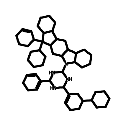 C1=CC(C2NC(C3=CCCC(C4CCCCC4)C3)NC(N3C4CCCCC4C4CC5C6CCCCC6C(C6C=CCCC6)(C6CCCCC6)C5CC43)N2)=CCC1